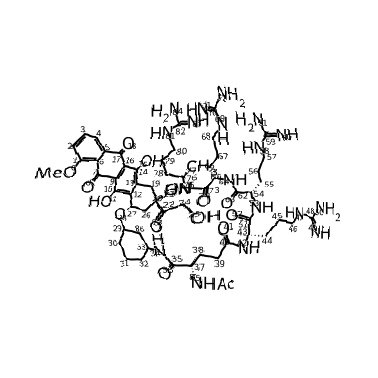 COc1cccc2c1C(=O)c1c(O)c3c(c(O)c1C2=O)C[C@](O)(C(=O)CO)C[C@@H]3OC1CCCC(NC(=O)[C@H](CCC(=O)N[C@@H](CCCNC(=N)N)C(=O)N[C@@H](CCCNC(=N)N)C(=O)N[C@@H](CCCNC(=N)N)C(=O)N[C@H](C)CCCNC(=N)N)NC(C)=O)C1